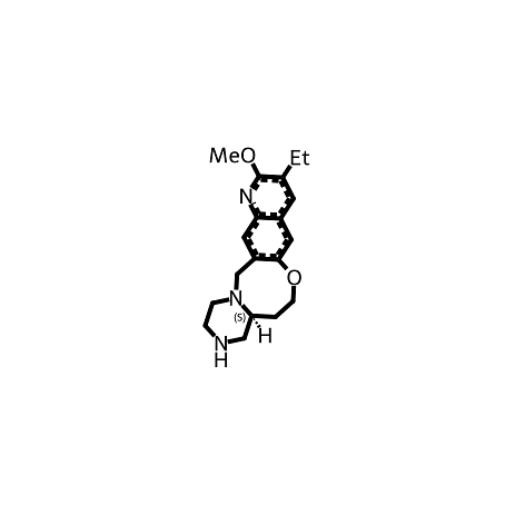 CCc1cc2cc3c(cc2nc1OC)CN1CCNC[C@@H]1CCO3